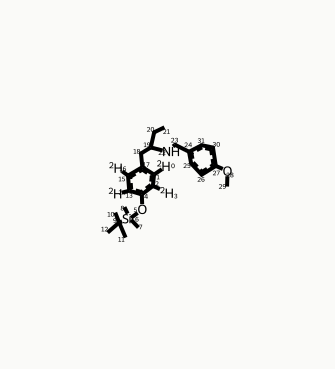 [2H]c1c([2H])c(O[Si](C)(C)C(C)(C)C)c([2H])c([2H])c1CC(CC)NCc1ccc(OC)cc1